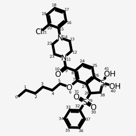 CCCCCCOc1c(C(=O)N2CCN(c3ccccc3Cl)CC2)ccc2c1C(S(=O)(=O)c1ccccc1)CS2(O)O